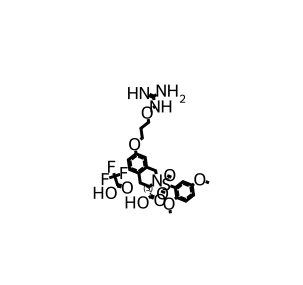 COc1ccc(OC)c(S(=O)(=O)N2Cc3cc(OCCCONC(=N)N)ccc3C[C@H]2C(=O)O)c1.O=C(O)C(F)(F)F